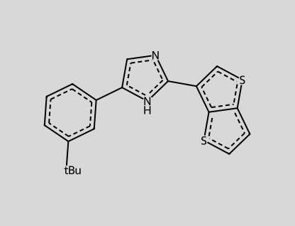 CC(C)(C)c1cccc(-c2cnc(-c3csc4ccsc34)[nH]2)c1